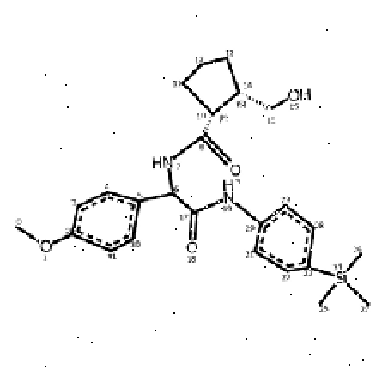 COc1ccc(C(NC(=O)[C@@H]2CCC[C@@H]2CO)C(=O)Nc2ccc([Si](C)(C)C)cc2)cc1